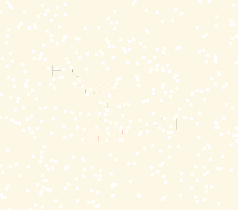 C=CCOS(=O)(=O)CC(=O)OC